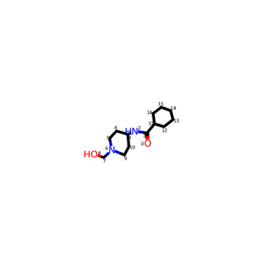 O=C(NC1CCN(CO)CC1)C1CCCCC1